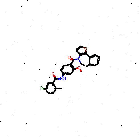 COc1cc(NC(=O)c2cc(F)ccc2C)ccc1C(=O)N1CCc2ccccc2-c2sccc21